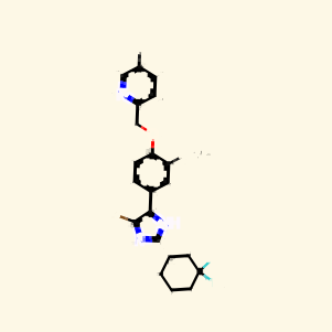 COc1cc(-c2[nH]c([C@H]3CCCC(F)(F)C3)nc2Br)ccc1OCc1ccc(C(F)(F)F)cn1